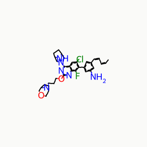 C/C=C\C=C/c1cc(N)cc(-c2c(Cl)cc3c(N4CC5CCC(C4)N5)nc(OCCCN4C5CCC4COC5)nc3c2F)c1